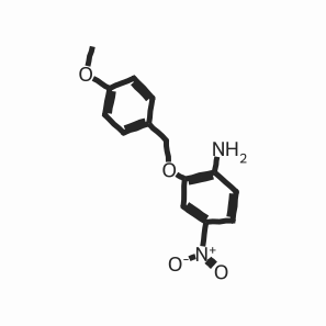 COc1ccc(COc2cc([N+](=O)[O-])ccc2N)cc1